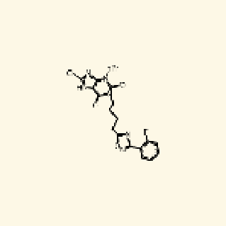 CCCn1c(=O)n(CCCCc2nc(-c3ccccc3F)no2)c(=O)c2[nH]c(Cl)nc21